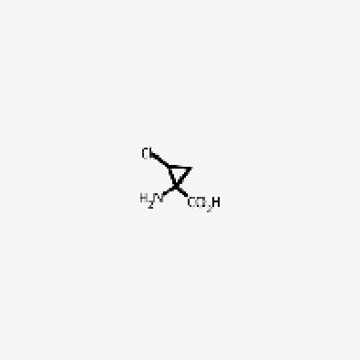 NC1(C(=O)O)CC1Cl